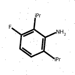 CC(C)c1ccc(F)c(C(C)C)c1N